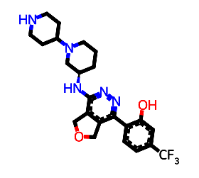 Oc1cc(C(F)(F)F)ccc1-c1nnc(N[C@@H]2CCCN(C3CCNCC3)C2)c2c1COC2